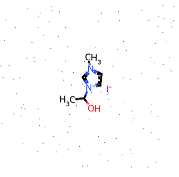 CC(O)[n+]1ccn(C)c1.[I-]